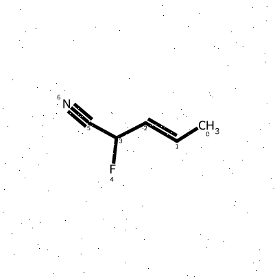 CC=CC(F)C#N